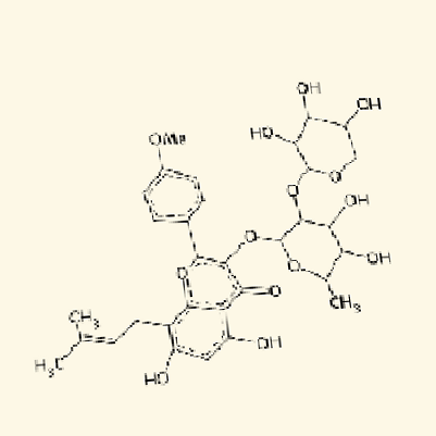 COc1ccc(-c2oc3c(CC=C(C)C)c(O)cc(O)c3c(=O)c2OC2OC(C)C(O)C(O)C2OC2OCC(O)C(O)C2O)cc1